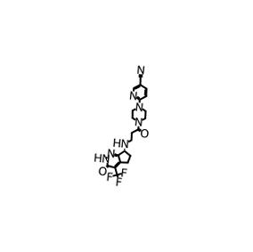 N#Cc1ccc(N2CCN(C(=O)CCN[C@@H]3CCc4c3n[nH]c(=O)c4C(F)(F)F)CC2)nc1